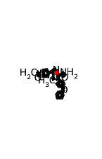 C=CC(=O)N1CCC(c2cnn3c(C(N)=O)c(-c4ccc(Oc5ccccc5)cc4)n(C)c23)CC1